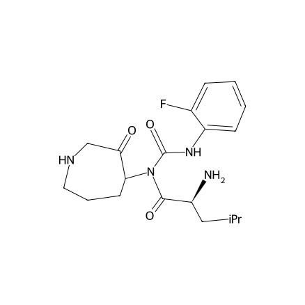 CC(C)C[C@H](N)C(=O)N(C(=O)Nc1ccccc1F)C1CCCNCC1=O